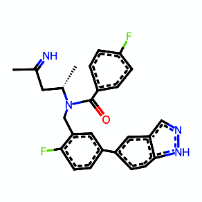 CC(=N)C[C@H](C)N(Cc1cc(-c2ccc3[nH]ncc3c2)ccc1F)C(=O)c1ccc(F)cc1